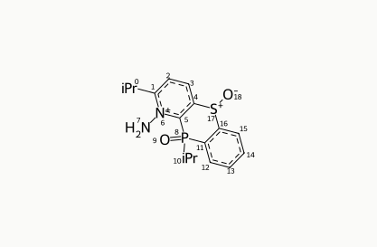 CC(C)c1ccc2c([n+]1N)P(=O)(C(C)C)c1ccccc1[S+]2[O-]